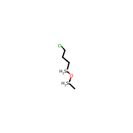 C[SiH2]O[SiH2]CCCCl